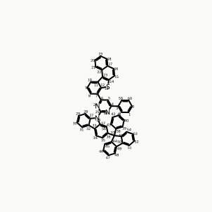 c1ccc(-c2cc(-c3cccc4c3sc3ccc5ccccc5c34)nc(-n3c4ccccc4c4ccc(C5(c6ccccc6)c6ccccc6-c6ccccc65)cc43)n2)cc1